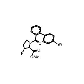 CCCc1ccc(-c2ccccc2C(=O)N2CC[C@H](F)[C@@H]2C(=O)OC)cc1